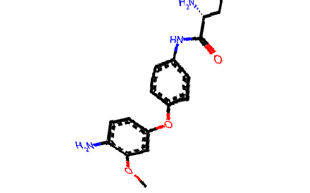 CC[C@@H](N)C(=O)Nc1ccc(Oc2ccc(N)c(OC)c2)cc1